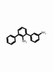 Nc1cccc(-c2cccc(-c3ccccc3)c2N)c1